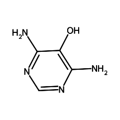 Nc1ncnc(N)c1O